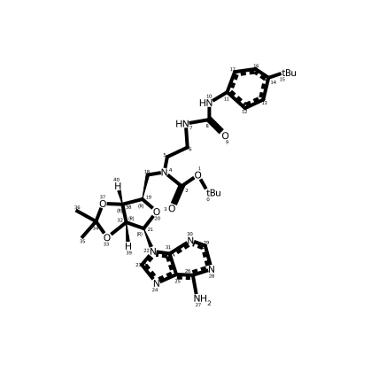 CC(C)(C)OC(=O)N(CCNC(=O)Nc1ccc(C(C)(C)C)cc1)C[C@H]1O[C@@H](n2cnc3c(N)ncnc32)[C@@H]2OC(C)(C)O[C@@H]21